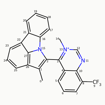 Cc1c(-c2c3cccc(C(F)(F)F)c3nc[n+]2C)n2c3ccccc3c3cccc1c32